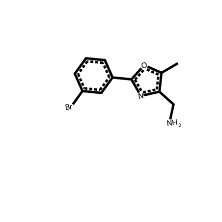 Cc1oc(-c2cccc(Br)c2)nc1CN